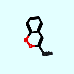 COC1=Cc2ccccc2OO1